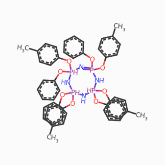 Cc1ccc(OP2(Oc3ccccc3)=N[PH](Oc3ccccc3)(Oc3ccc(C)cc3)N[PH](Oc3ccccc3)(Oc3ccc(C)cc3)N[PH](Oc3ccccc3)(Oc3ccc(C)cc3)N2)cc1